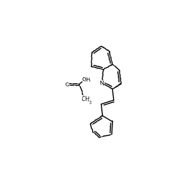 C(=Cc1ccc2ccccc2n1)c1ccccc1.CC(=O)O